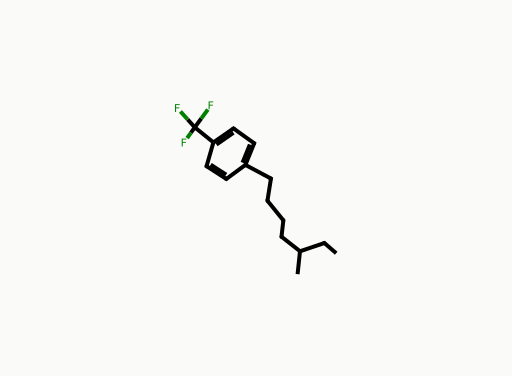 CCC(C)CCCCc1ccc(C(F)(F)F)cc1